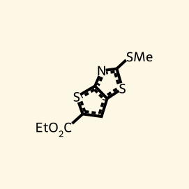 CCOC(=O)c1cc2sc(SC)nc2s1